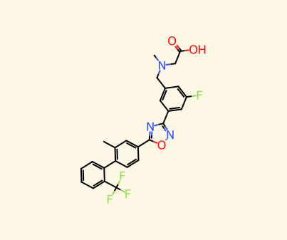 Cc1cc(-c2nc(-c3cc(F)cc(CN(C)CC(=O)O)c3)no2)ccc1-c1ccccc1C(F)(F)F